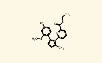 CCOC(=O)c1cccc(-n2c(C)ccc2-c2ccc(Br)cc2OC)n1